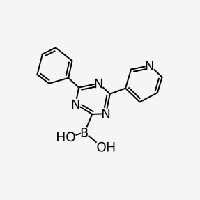 OB(O)c1nc(-c2ccccc2)nc(-c2cccnc2)n1